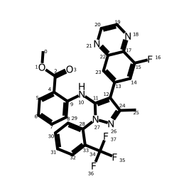 COC(=O)c1ccccc1Nc1c(-c2cc(F)c3nccnc3c2)c(C)nn1-c1ccccc1C(F)(F)F